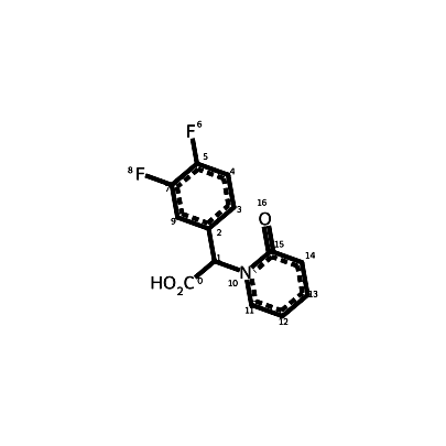 O=C(O)C(c1ccc(F)c(F)c1)n1ccccc1=O